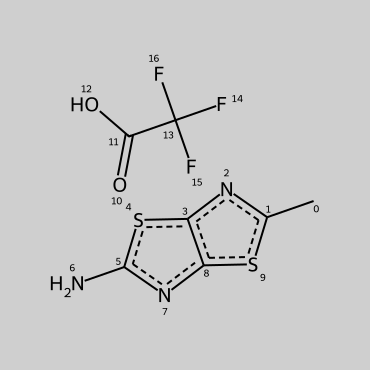 Cc1nc2sc(N)nc2s1.O=C(O)C(F)(F)F